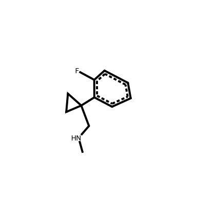 CNCC1(c2ccccc2F)CC1